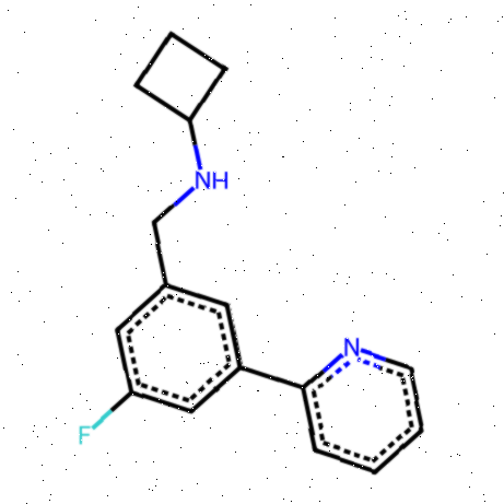 Fc1cc(CNC2CCC2)cc(-c2ccccn2)c1